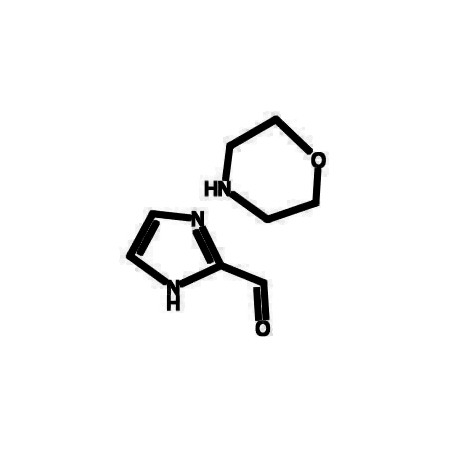 C1COCCN1.O=Cc1ncc[nH]1